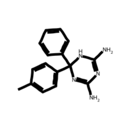 Cc1ccc(C2(c3ccccc3)N=C(N)N=C(N)N2)cc1